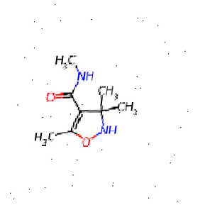 CNC(=O)C1=C(C)ONC1(C)C